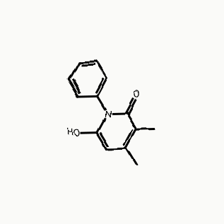 Cc1cc(O)n(-c2ccccc2)c(=O)c1C